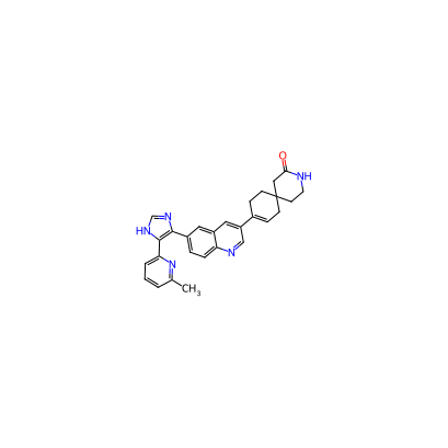 Cc1cccc(-c2[nH]cnc2-c2ccc3ncc(C4=CCC5(CCNC(=O)C5)CC4)cc3c2)n1